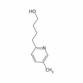 Cc1ccc(CCCCO)nc1